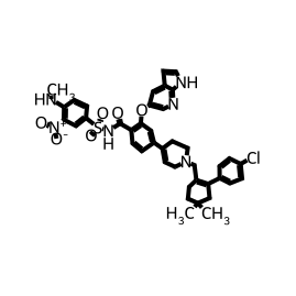 CNc1ccc(S(=O)(=O)NC(=O)c2ccc(C3=CCN(CC4=C(c5ccc(Cl)cc5)CC(C)(C)CC4)CC3)cc2Oc2cnc3[nH]ccc3c2)cc1[N+](=O)[O-]